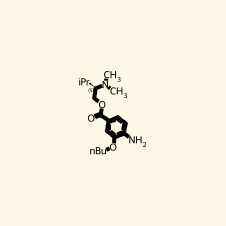 CCCCOc1cc(C(=O)OC[C@H](C(C)C)N(C)C)ccc1N